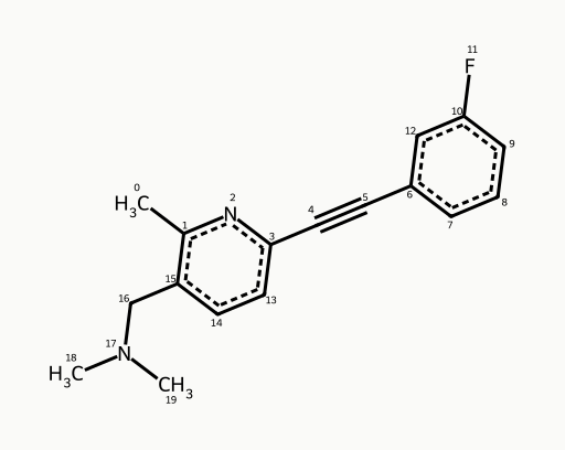 Cc1nc(C#Cc2cccc(F)c2)ccc1CN(C)C